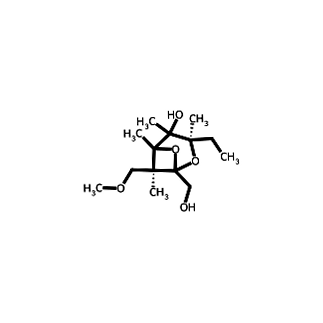 CC[C@@]1(C)OC2(CO)OC(C)(C1(C)O)[C@]2(C)COC